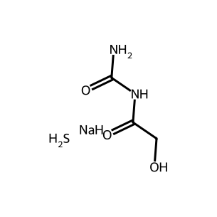 NC(=O)NC(=O)CO.S.[NaH]